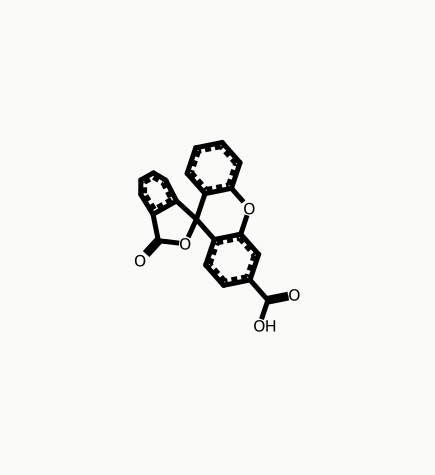 O=C(O)c1ccc2c(c1)Oc1ccccc1C21OC(=O)c2ccccc21